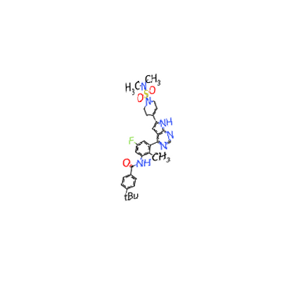 Cc1c(NC(=O)c2ccc(C(C)(C)C)cc2)cc(F)cc1-c1ncnc2[nH]c(C3=CCN(S(=O)(=O)N(C)C)CC3)cc12